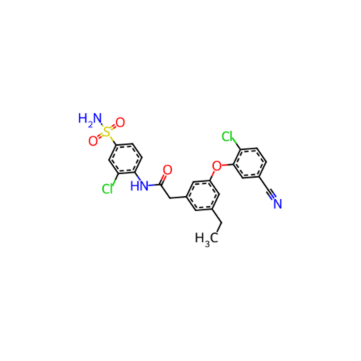 CCc1cc(CC(=O)Nc2ccc(S(N)(=O)=O)cc2Cl)cc(Oc2cc(C#N)ccc2Cl)c1